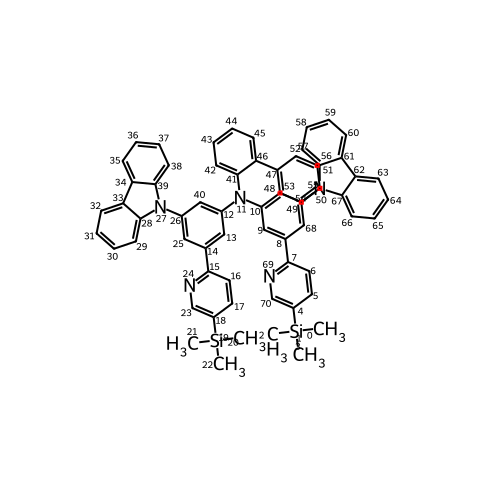 C[Si](C)(C)c1ccc(-c2cc(N(c3cc(-c4ccc([Si](C)(C)C)cn4)cc(-n4c5ccccc5c5ccccc54)c3)c3ccccc3-c3ccccc3)cc(-n3c4ccccc4c4ccccc43)c2)nc1